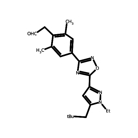 CCn1nc(-c2nc(-c3cc(C)c(CC=O)c(C)c3)no2)cc1CC(C)(C)C